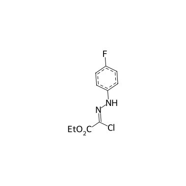 CCOC(=O)C(Cl)=NNc1ccc(F)cc1